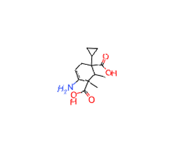 CC1C(C)(C(=O)O)C(N)=CCC1(C(=O)O)C1CC1